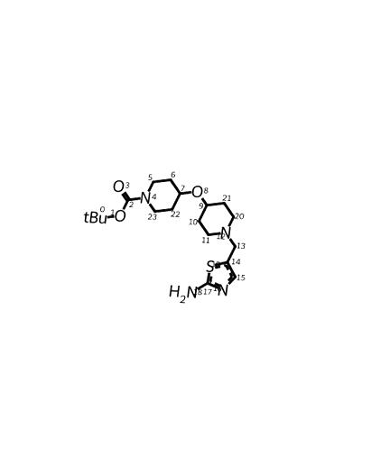 CC(C)(C)OC(=O)N1CCC(OC2CCN(Cc3cnc(N)s3)CC2)CC1